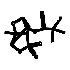 CC(F)(F)C(=O)OC1C2CC3C(C)(O2)C1OS3(=O)=O